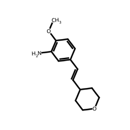 COc1ccc(/C=C/C2CCOCC2)cc1N